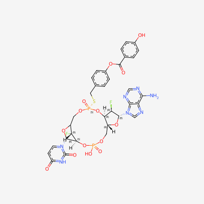 Nc1ncnc2c1ncn2[C@@H]1O[C@@H]2COP(=O)(O)O[C@@H]3[C@H](F)C(CO[P@](=O)(SCc4ccc(OC(=O)c5ccc(O)cc5)cc4)O[C@H]2[C@H]1F)O[C@H]3n1ccc(=O)[nH]c1=O